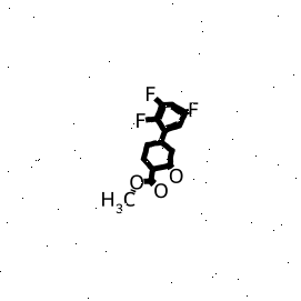 COC(=O)C1CCC(c2cc(F)cc(F)c2F)CC1=O